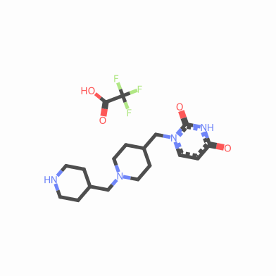 O=C(O)C(F)(F)F.O=c1ccn(CC2CCN(CC3CCNCC3)CC2)c(=O)[nH]1